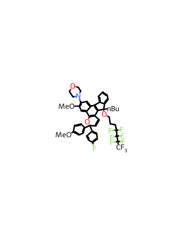 CCCCC1(OCCCC(F)(F)C(F)(F)C(F)(F)C(F)(F)F)c2ccccc2-c2c1c1c(c3cc(OC)c(N4CCOCC4)cc23)OC(c2ccc(F)cc2)(c2ccc(OC)cc2)C=C1